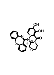 O=C1C2=C(O)C(O)C=CN2N(C2=Nc3ccccc3Sc3ccccc32)[C@@H]2COCCN12